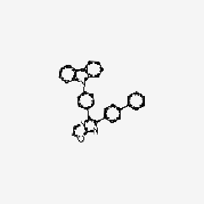 c1ccc(-c2ccc(-c3nc4occn4c3-c3ccc(-n4c5ccccc5c5ccccc54)cc3)cc2)cc1